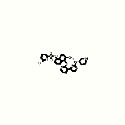 Cc1cccc(S(=O)(=O)Nc2cccc3c(Oc4ncccc4-c4ccnc(N[C@H]5CCCNC5)n4)c(C)ccc23)n1